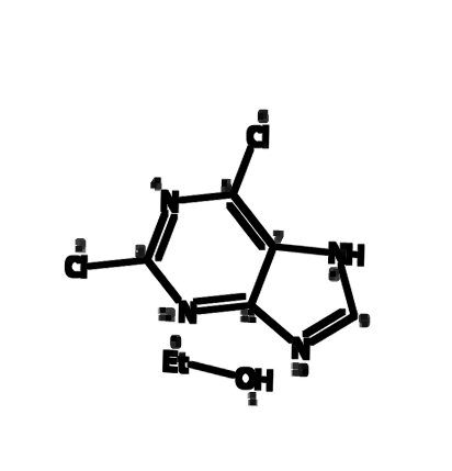 CCO.Clc1nc(Cl)c2[nH]cnc2n1